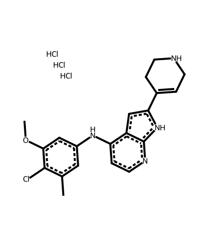 COc1cc(Nc2ccnc3[nH]c(C4=CCNCC4)cc23)cc(C)c1Cl.Cl.Cl.Cl